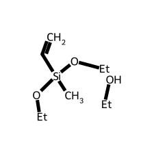 C=C[Si](C)(OCC)OCC.CCO